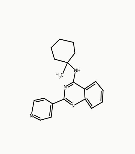 CC1(Nc2nc(-c3ccncc3)nc3ccccc23)CCCCC1